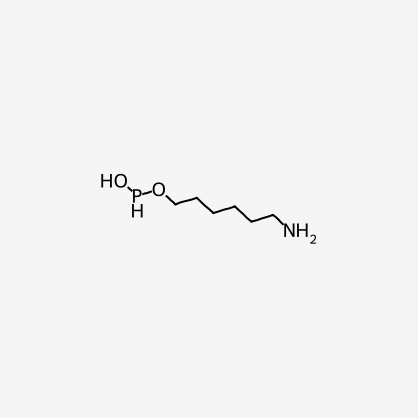 NCCCCCCOPO